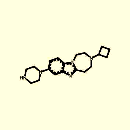 c1cc2c(cc1N1CCNCC1)nc1n2CCN(C2CCC2)CC1